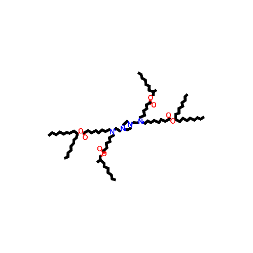 CCCCCCCCC(CCCCCCCC)OC(=O)CCCCCCCN(CCCCCC(=O)OCC(C)CCCCCCC)CCN1CCN(CCN(CCCCCCCC(=O)OC(CCCCCCCC)CCCCCCCC)CCCCCC(=O)OCC(C)CCCCCCC)CC1